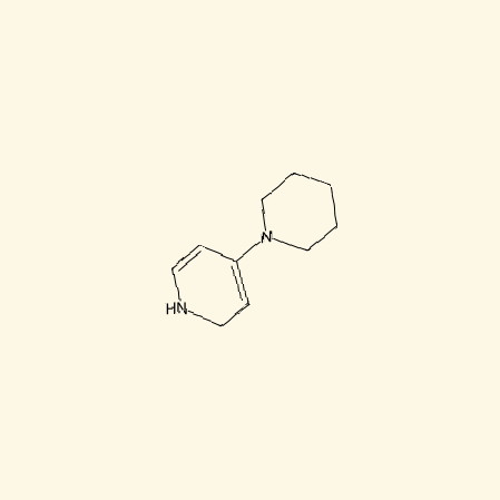 C1=CC(N2CCCCC2)=CCN1